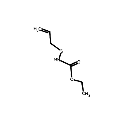 C=CCSNC(=O)OCC